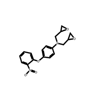 O=[N+]([O-])c1ccccc1Oc1ccc(N(CC2CO2)CC2CO2)cc1